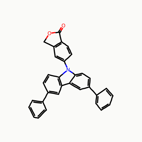 O=C1OCc2cc(-n3c4ccc(-c5ccccc5)cc4c4cc(-c5ccccc5)ccc43)ccc21